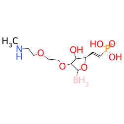 B[C@@H]1O[C@H](/C=C/P(=O)(O)O)C(O)C1OCCOCCNC